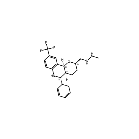 CNNC[C@H]1CC[C@@H]2[C@H](O1)c1cc(C(F)(F)F)ccc1N[C@H]2C1C=CC=CC1